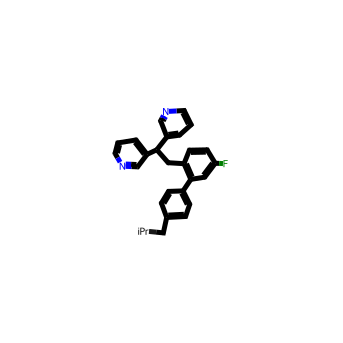 CC(C)Cc1ccc(-c2cc(F)ccc2CC(c2cccnc2)c2cccnc2)cc1